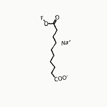 O=C([O-])CCCCCCCCC(=O)OF.[Na+]